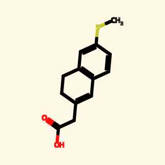 CSc1ccc2c(c1)CCC(CC(=O)O)=C2